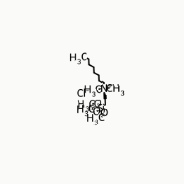 CCCCCCCC[N+](C)(C)C#CC[Si](OC)(OC)OC.[Cl-]